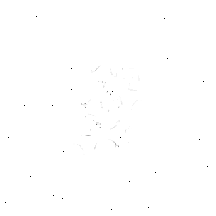 CC1(C)c2ccccc2N(c2cncc(-n3c4ccccc4c4ncccc43)c2)c2ccccc21